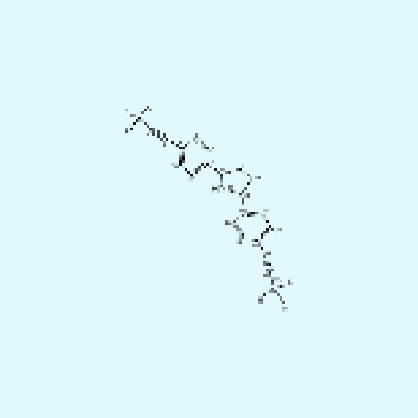 C[Si](C)(C)C#Cc1ccc(C2CCC(c3ccc(C#C[Si](C)(C)C)cc3)N2)cc1